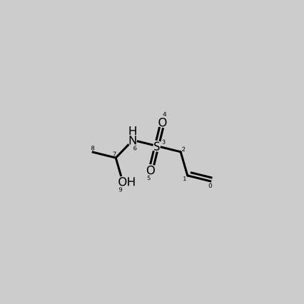 C=CCS(=O)(=O)NC(C)O